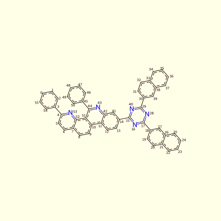 c1ccc(-c2ccc3ccc4c5ccc(-c6nc(-c7ccc8ccccc8c7)nc(-c7ccc8ccccc8c7)n6)cc5nc(-c5ccccc5)c4c3n2)cc1